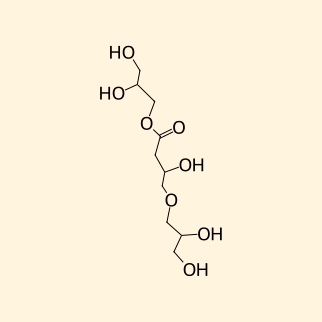 O=C(CC(O)COCC(O)CO)OCC(O)CO